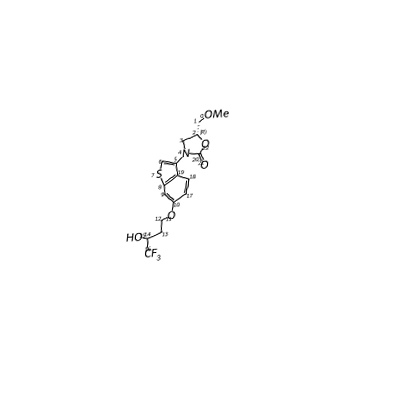 COC[C@H]1CN(c2csc3cc(OCCC(O)C(F)(F)F)ccc23)C(=O)O1